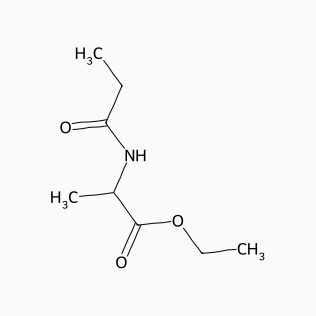 CCOC(=O)C(C)NC(=O)CC